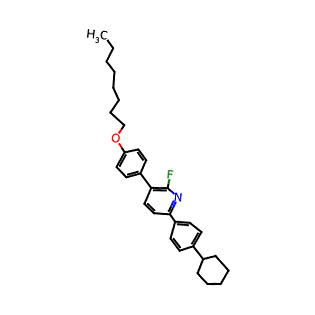 CCCCCCCCOc1ccc(-c2ccc(-c3ccc(C4CCCCC4)cc3)nc2F)cc1